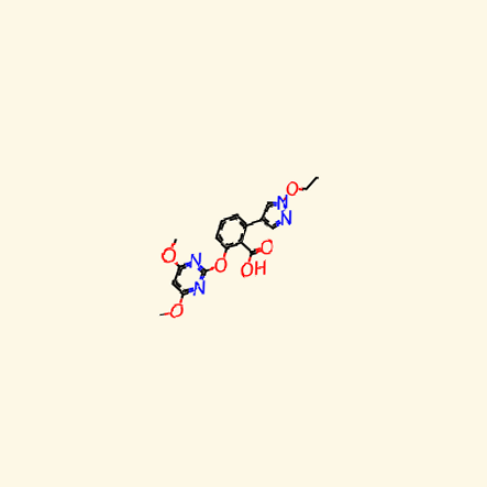 CCOn1cc(-c2cccc(Oc3nc(OC)cc(OC)n3)c2C(=O)O)cn1